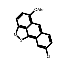 COc1ccc2c3c(c4cc(Cl)ccc4cc13)SO2